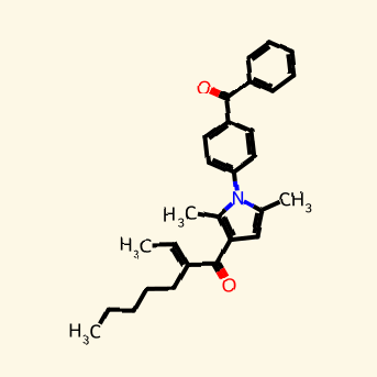 CC=C(CCCCC)C(=O)c1cc(C)n(-c2ccc(C(=O)c3ccccc3)cc2)c1C